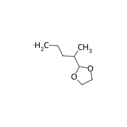 [CH2]CCC(C)C1OCCO1